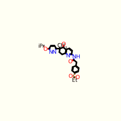 CCS(=O)(=O)c1ccc(CC(=O)Nc2ccc3c(n2)CCC(C)(c2ccc(OC(C)C)nn2)C3=O)cc1